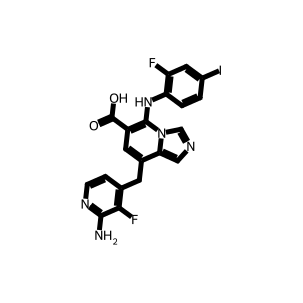 Nc1nccc(Cc2cc(C(=O)O)c(Nc3ccc(I)cc3F)n3cncc23)c1F